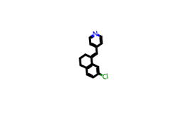 Clc1ccc2c(c1)C(=Cc1ccncc1)CCC2